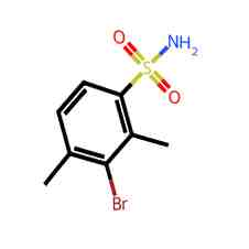 Cc1ccc(S(N)(=O)=O)c(C)c1Br